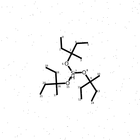 CCC(C)(CC)O[SiH](OC(C)(CC)CC)OC(C)(CC)CC